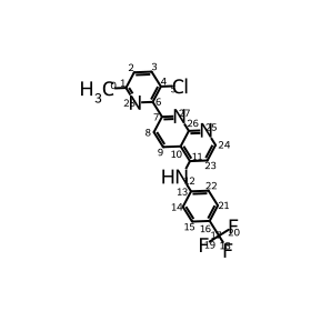 Cc1ccc(Cl)c(-c2ccc3c(Nc4ccc(C(F)(F)F)cc4)ccnc3n2)n1